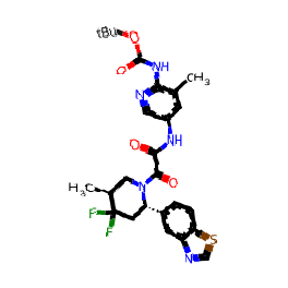 Cc1cc(NC(=O)C(=O)N2C[C@H](C)C(F)(F)C[C@H]2c2ccc3scnc3c2)cnc1NC(=O)OC(C)(C)C